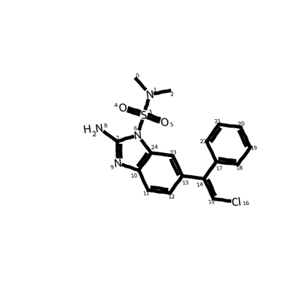 CN(C)S(=O)(=O)n1c(N)nc2ccc(/C(=C/Cl)c3ccccc3)cc21